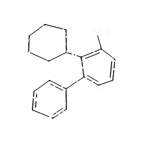 O=C(O)c1cccc(-c2ccccc2)c1C1CCCCC1